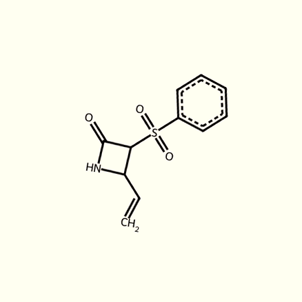 C=CC1NC(=O)C1S(=O)(=O)c1ccccc1